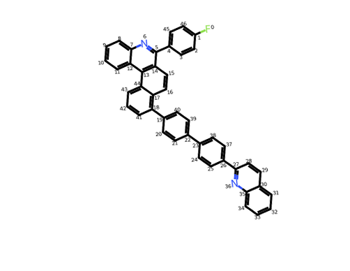 Fc1ccc(-c2nc3ccccc3c3c2ccc2c(-c4ccc(-c5ccc(-c6ccc7ccccc7n6)cc5)cc4)cccc23)cc1